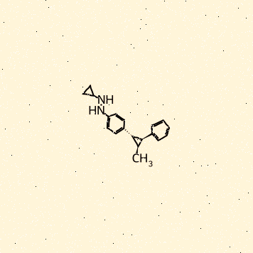 C[C@@H]1[C@H](c2ccccc2)[C@H]1c1ccc(NNC2CC2)cc1